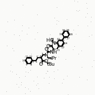 CC(C)CN(CC(CCc1ccccc1)C(=O)OC(C)(C)C)C(=O)N[C@@H](Cc1ccc(-c2ccccc2)cc1)C(=O)NO